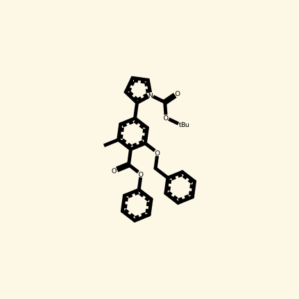 Cc1cc(-c2cccn2C(=O)OC(C)(C)C)cc(OCc2ccccc2)c1C(=O)Oc1ccccc1